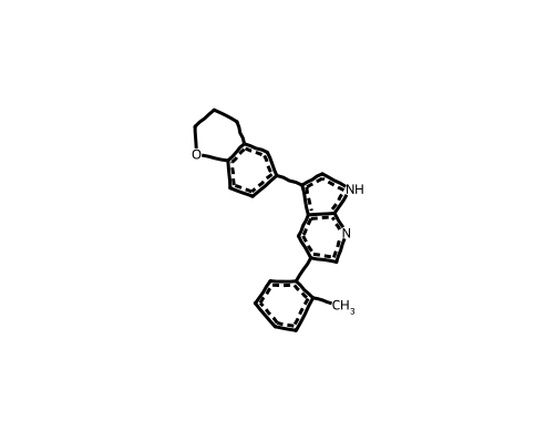 Cc1ccccc1-c1cnc2[nH]cc(-c3ccc4c(c3)CCCO4)c2c1